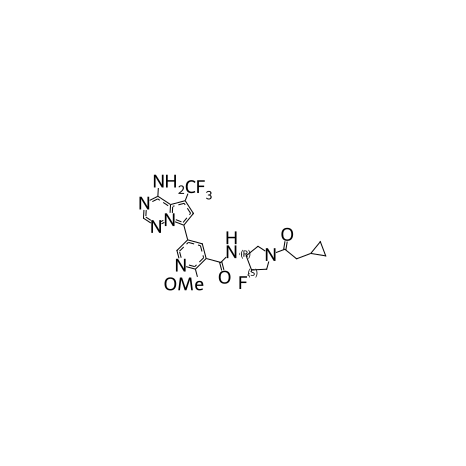 COc1ncc(-c2cc(C(F)(F)F)c3c(N)ncnn23)cc1C(=O)N[C@@H]1CN(C(=O)CC2CC2)C[C@@H]1F